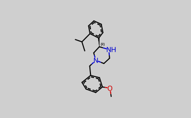 COc1cccc(CN2CCN[C@H](c3ccccc3C(C)C)C2)c1